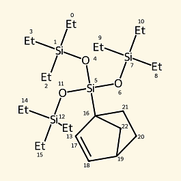 CC[Si](CC)(CC)O[Si](O[Si](CC)(CC)CC)(O[Si](CC)(CC)CC)C12C=CC(CC1)C2